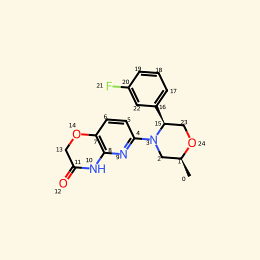 C[C@H]1CN(c2ccc3c(n2)NC(=O)CO3)[C@@H](c2cccc(F)c2)CO1